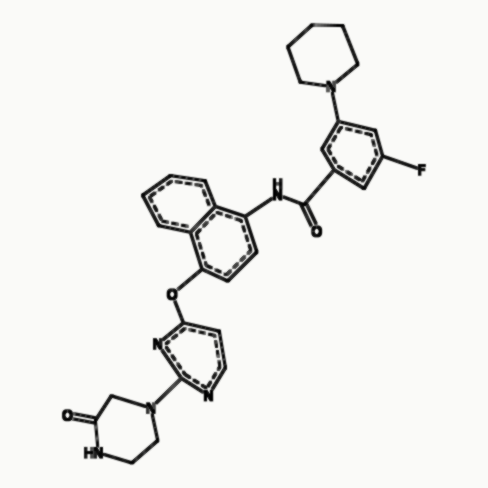 O=C1CN(c2nccc(Oc3ccc(NC(=O)c4cc(F)cc(N5CCCCC5)c4)c4ccccc34)n2)CCN1